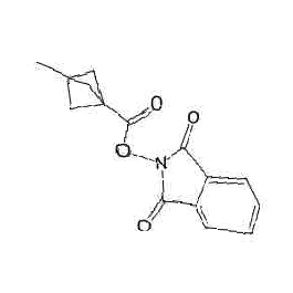 CC12CC(C(=O)ON3C(=O)c4ccccc4C3=O)(C1)C2